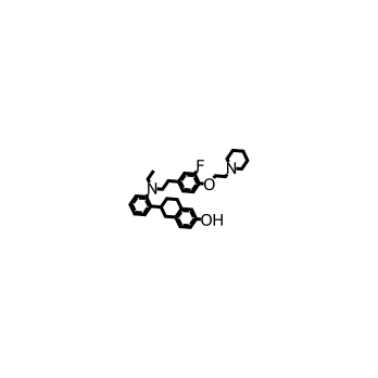 CCN(CCc1ccc(OCCN2CCCCC2)c(F)c1)c1ccccc1C1CCc2cc(O)ccc2C1